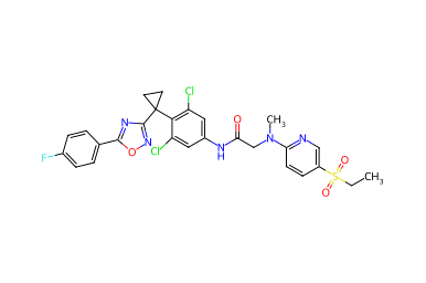 CCS(=O)(=O)c1ccc(N(C)CC(=O)Nc2cc(Cl)c(C3(c4noc(-c5ccc(F)cc5)n4)CC3)c(Cl)c2)nc1